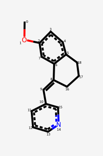 COc1ccc2c(c1)C(=Cc1cccnc1)CCC2